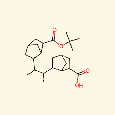 CC(C(C)C1CC2CC(C(=O)OC(C)(C)C)C1C2)C1CC2CC(C(=O)O)C1C2